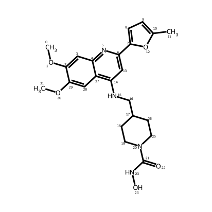 COc1cc2nc(-c3ccc(C)o3)cc(NCC3CCN(C(=O)NO)CC3)c2cc1OC